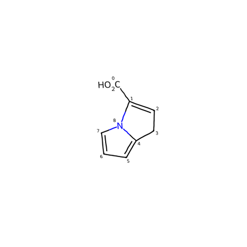 O=C(O)C1=CCc2cccn21